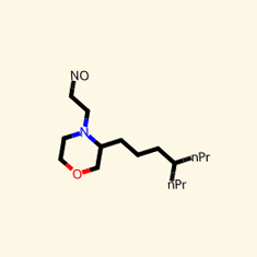 CCCC(CCC)CCCC1COCCN1CCN=O